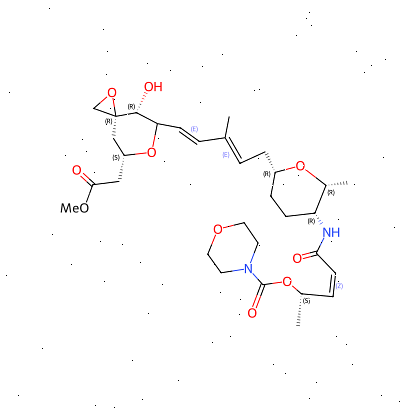 COC(=O)C[C@@H]1C[C@@]2(CO2)[C@H](O)C(/C=C/C(C)=C/C[C@H]2CC[C@@H](NC(=O)/C=C\[C@H](C)OC(=O)N3CCOCC3)[C@@H](C)O2)O1